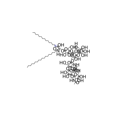 CCCCCCCCCCCCC/C=C/[C@@H](O)[C@H](CO[C@@H]1OC(CO)[C@@H](O[C@@H]2OC(CO[C@@H]3OC(CO)[C@@H](O[C@@H]4OC(CO)[C@H](O[C@@H]5OC(CO)[C@H](O)[C@H](O)C5NC(C)=O)[C@H](O)C4O)[C@H](O)C3NC(C)=O)[C@H](O)[C@H](O[C@H]3OC(CO)[C@H](O)[C@H](O)C3O)C2O)[C@H](O)C1O)NC(=O)CCCCCCCCCCCCCCCCC